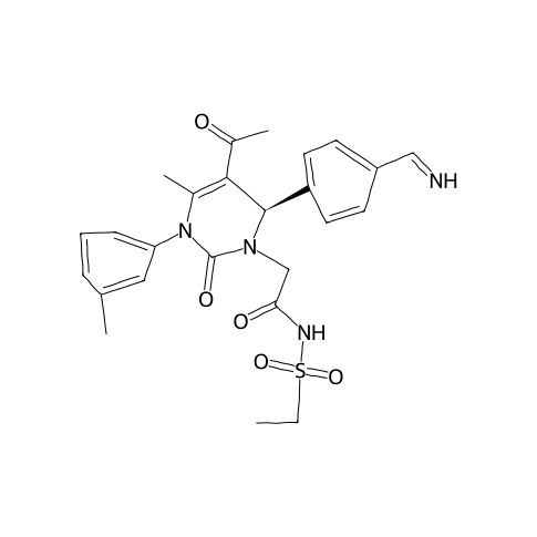 CCS(=O)(=O)NC(=O)CN1C(=O)N(c2cccc(C)c2)C(C)=C(C(C)=O)[C@H]1c1ccc(C=N)cc1